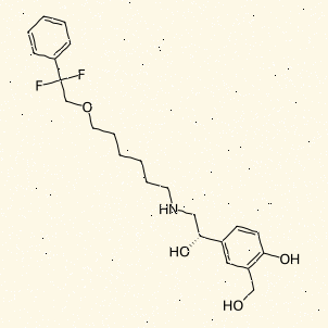 OCc1cc([C@H](O)CNCCCCCCOCC(F)(F)c2ccccc2)ccc1O